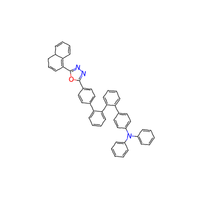 C1=CC2=C(c3nnc(-c4ccc(-c5ccccc5-c5ccccc5-c5ccc(N(c6ccccc6)c6ccccc6)cc5)cc4)o3)C=CCC2C=C1